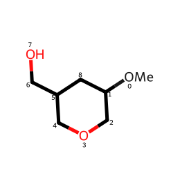 COC1COCC(CO)C1